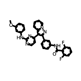 COc1cccc(Nc2nccc(-c3c(-c4cccc(NC(=O)c5c(F)cccc5F)c4)nn4ccccc34)n2)c1